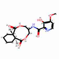 COc1ccnc(C(=O)NC2COC(=O)[C@H]3CCCC[C@@H]3C(=O)OC2)c1O